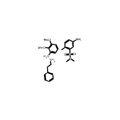 COc1cccc(N)c1OC.Cc1ccc(N)cc1S(=O)(=O)N(C)C.NCCc1ccccc1